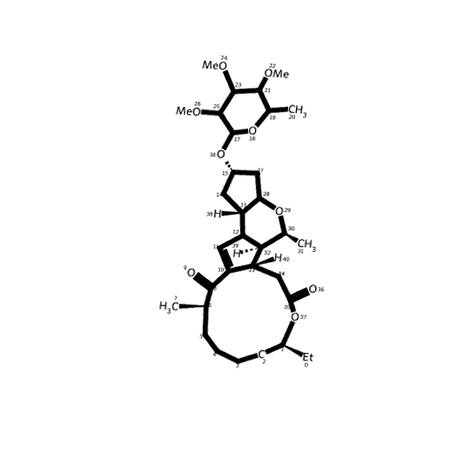 CC[C@H]1CCCC[C@@H](C)C(=O)C2=CC3[C@@H]4C[C@H](OC5OC(C)C(OC)C(OC)C5OC)CC4O[C@@H](C)[C@H]3[C@@H]2CC(=O)O1